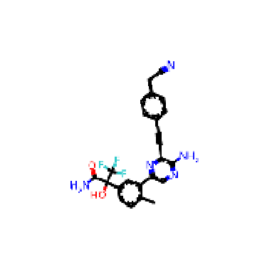 Cc1ccc(C(O)(C(N)=O)C(F)(F)F)cc1-c1cnc(N)c(C#Cc2ccc(CC#N)cc2)n1